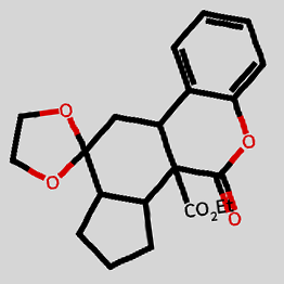 CCOC(=O)C12C(=O)Oc3ccccc3C1CC1(OCCO1)C1CCCC12